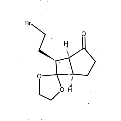 O=C1CC[C@@H]2[C@H]1[C@H](CCBr)C21OCCO1